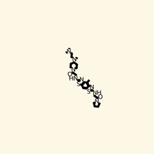 Cc1c2nc(NCC(=O)N3CCCC3)sc2cc2sc(NCC(=O)N3CCC(N(C)CCN(C)C)CC3)nc12